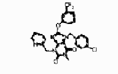 Cn1c(=O)c2c(nc(Oc3cccc(C(F)(F)F)c3)n2Cc2ccc(Cl)cc2)n(Cc2ccccn2)c1=O